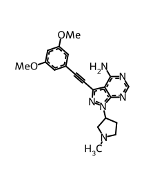 COc1cc(C#Cc2nn(C3CCN(C)C3)c3ncnc(N)c23)cc(OC)c1